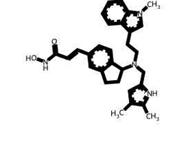 Cc1cc(CN(CCc2cn(C)c3ccccc23)C2CCc3cc(C=CC(=O)NO)ccc32)[nH]c1C